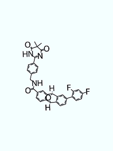 CC1(C)C(=O)N=C(c2ccc(CNC(=O)c3ccc4c(c3)[C@@H]3O[C@H]4c4ccc(-c5ccc(F)cc5F)cc43)cc2)NC1=O